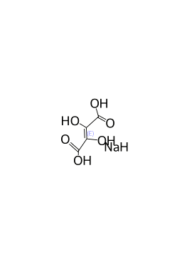 O=C(O)/C(O)=C(\O)C(=O)O.[NaH]